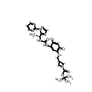 C[C@H](NC(=O)Nc1cc(OCC2CN(C(=O)OC(C)(C)C)C2)c(Cl)cc1Cl)c1ncnn1-c1ncccn1